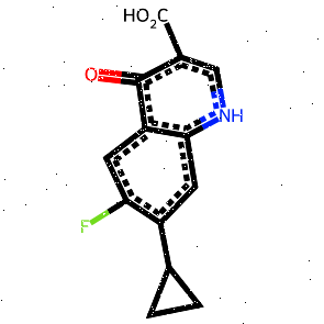 O=C(O)c1c[nH]c2cc(C3CC3)c(F)cc2c1=O